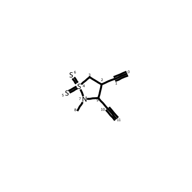 C#CC1CS(=S)(=S)N(C)C1C#C